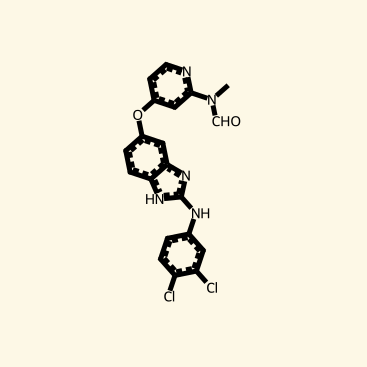 CN(C=O)c1cc(Oc2ccc3[nH]c(Nc4ccc(Cl)c(Cl)c4)nc3c2)ccn1